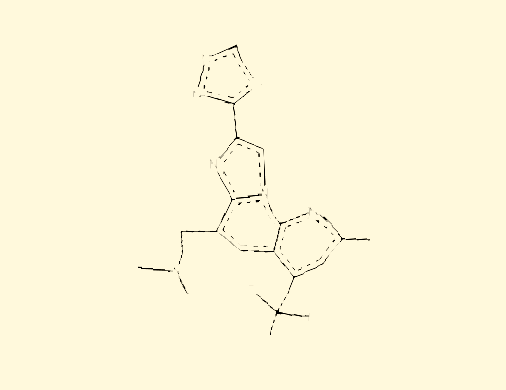 Cc1cc(C(F)(F)F)c2cc(CN(C)C)c3nc(-c4nnco4)cn3c2n1